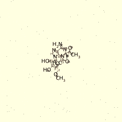 COC[C@H]1O[C@@H](n2cnc3c2N(C(C)=O)C(F)(C(C)=O)N=C3N)C(O)C1O